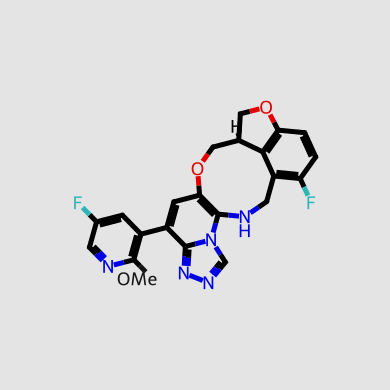 COc1ncc(F)cc1-c1cc2c(n3cnnc13)NCc1c(F)ccc3c1[C@H](CO3)CO2